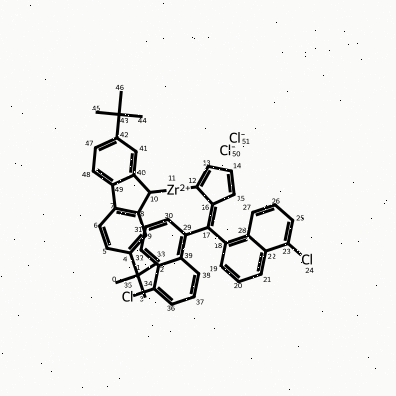 CC(C)(C)c1ccc2c(c1)[CH]([Zr+2][C]1=CC=CC1=C(c1cccc3c(Cl)cccc13)c1cccc3c(Cl)cccc13)c1cc(C(C)(C)C)ccc1-2.[Cl-].[Cl-]